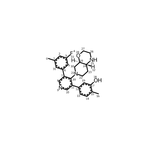 Cc1cc(F)cc(-c2cncc(-c3ccc(C)c(O)c3)c2N2CC[C@H]3NCCO[C@@H]3C2)c1